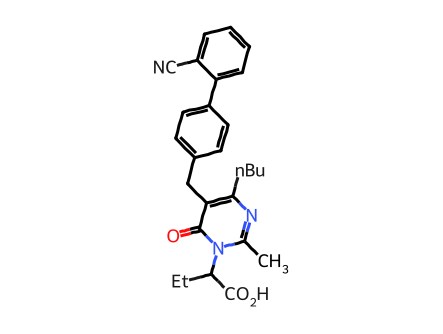 CCCCc1nc(C)n(C(CC)C(=O)O)c(=O)c1Cc1ccc(-c2ccccc2C#N)cc1